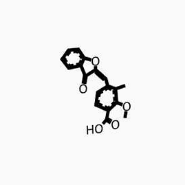 COc1c(C(=O)O)ccc(C=C2Oc3ccccc3C2=O)c1C